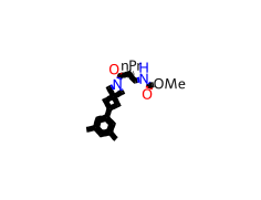 CCC[C@H](CNC(=O)OC)C(=O)N1CC2(CC(c3cc(C)cc(C)c3)C2)C1